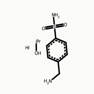 CC(C)O.I.NCc1ccc(S(N)(=O)=O)cc1